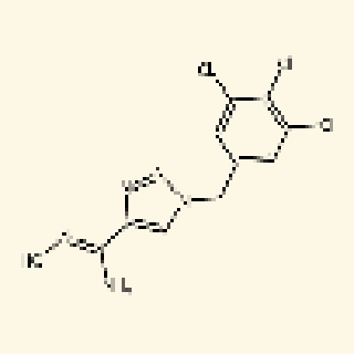 N/C(=N\O)c1cn(Cc2cc(Cl)c(Cl)c(Cl)c2)nn1